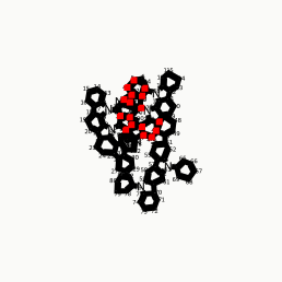 CN1C(c2ccccc2)=NC(n2c3ccccc3c3ccc4c5ccc6c7ccccc7n(-c7nc(-c8ccccc8)nc(-n8c9ccccc9c9cc%10c(cc98)c8cc9c(cc8n%10-c8ccccc8)c8ccccc8n9-c8ccccc8)n7)c6c5n(-c5ccccc5)c4c32)=NC1n1c2ccccc2c2ccc3c4ccc5c6ccccc6n(-c6ccccc6)c5c4n(-c4ccccc4)c3c21